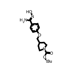 CC(C)(C)OC(=O)N1CCC(COc2ccc(/C(N)=N/O)cc2)CC1